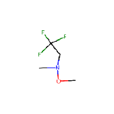 CON(C)CC(F)(F)F